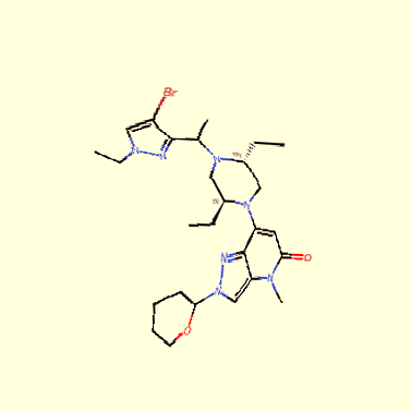 CC[C@H]1CN(C(C)c2nn(CC)cc2Br)[C@H](CC)CN1c1cc(=O)n(C)c2cn(C3CCCCO3)nc12